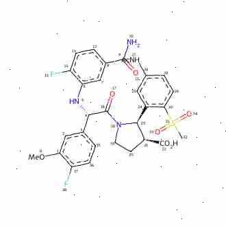 COc1cc([C@H](Nc2cc(C(N)=O)ccc2F)C(=O)N2CC[C@H](C(=O)O)[C@@H]2c2cc(NC(C)=O)ccc2S(C)(=O)=O)ccc1F